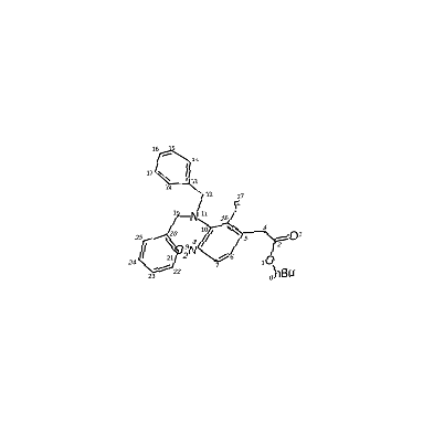 CCCCOC(=O)Cc1ccc([N+](=O)[O-])c(N(Cc2ccccc2)Cc2ccccc2)c1F